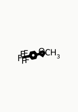 CC1CC(c2ccc(C(F)(F)C(F)(F)F)cc2)O1